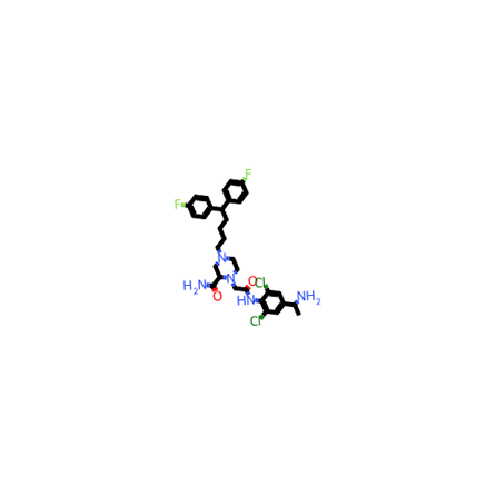 CC(N)c1cc(Cl)c(NC(=O)CN2CCN(CCCCC(c3ccc(F)cc3)c3ccc(F)cc3)CC2C(N)=O)c(Cl)c1